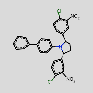 O=[N+]([O-])c1cc([C@H]2CC[C@H](c3ccc(Cl)c([N+](=O)[O-])c3)N2c2ccc(-c3ccccc3)cc2)ccc1Cl